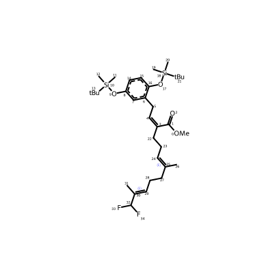 COC(=O)C(=CCc1cc(O[Si](C)(C)C(C)(C)C)ccc1O[Si](C)(C)C(C)(C)C)CC/C=C(\C)CC/C=C(\C)C(F)F